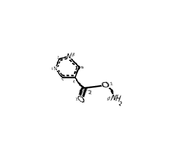 NOC(=O)c1cncnc1